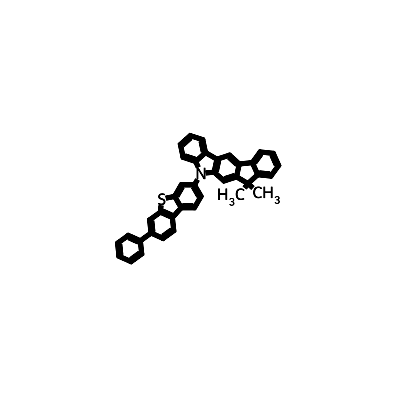 CC1(C)c2ccccc2-c2cc3c4ccccc4n(-c4ccc5c(c4)sc4cc(-c6ccccc6)ccc45)c3cc21